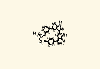 CN(C)Cc1cncc(-c2cc3c(-c4cc5c(-c6ccc(F)cc6)ccnc5[nH]4)n[nH]c3cn2)c1